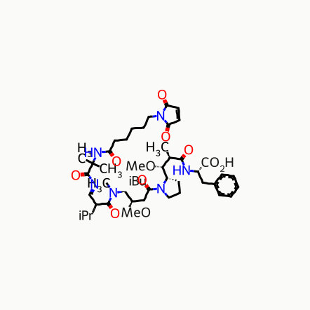 CC[C@H](C)[C@@H]([C@@H](CC(=O)N1CCC[C@H]1[C@H](OC)[C@@H](C)C(=O)N[C@@H](Cc1ccccc1)C(=O)O)OC)N(C)C(=O)C(C=NC(=O)C(C)(C)NC(=O)CCCCCN1C(=O)C=CC1=O)C(C)C